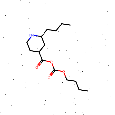 CCCCOC(=O)OC(=O)C1CCNC(CCCC)C1